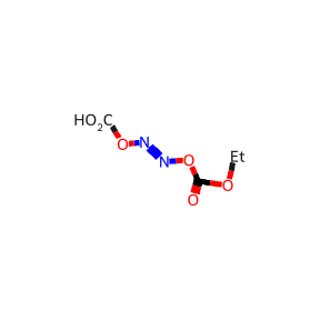 CCOC(=O)ON=NOC(=O)O